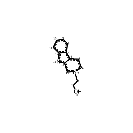 OCCn1ccc2c3ccccc3nc-2c1